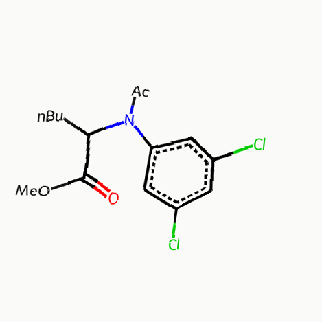 CCCCC(C(=O)OC)N(C(C)=O)c1cc(Cl)cc(Cl)c1